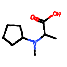 CC(C(=O)O)N(C)C1CCCC1